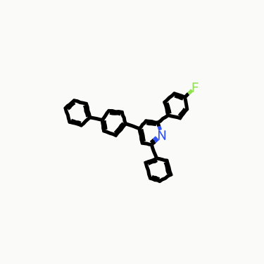 Fc1ccc(-c2cc(-c3ccc(-c4ccccc4)cc3)cc(-c3ccccc3)n2)cc1